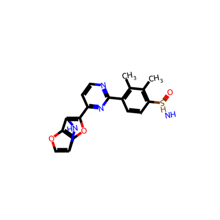 Cc1c([SH](=N)=O)[c]cc(-c2nccc(-c3oc4c5coc4c3[nH]5)n2)c1C